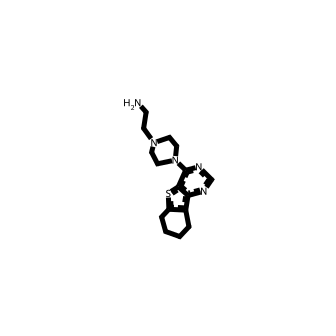 NCCN1CCN(c2ncnc3c4c(sc23)CCCC4)CC1